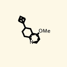 COc1ccnc2c1CC(C1C3CC1C3)CC2